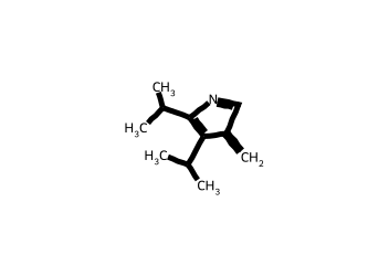 C=C1C=NC(C(C)C)=C1C(C)C